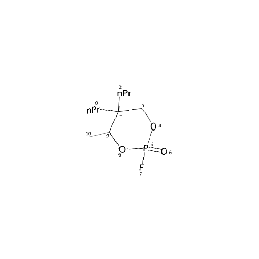 CCCC1(CCC)COP(=O)(F)OC1C